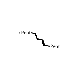 [CH2]CCCCCCC=CC(C)CC[CH2]